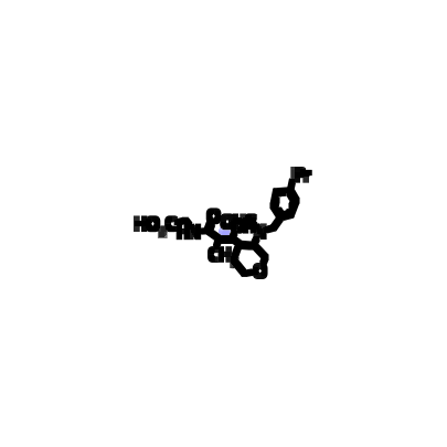 C/C(C(=O)NCC(=O)O)=C(/O)C1=C(N(C=O)Cc2ccc(C(C)C)cc2)COCC1